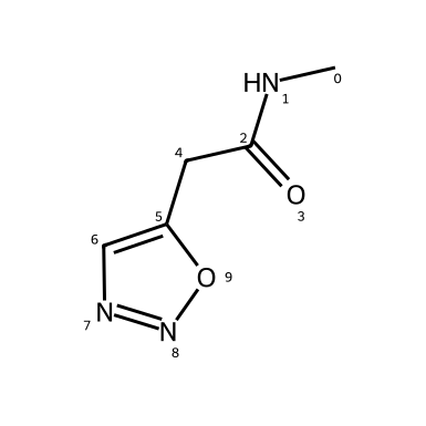 CNC(=O)Cc1cnno1